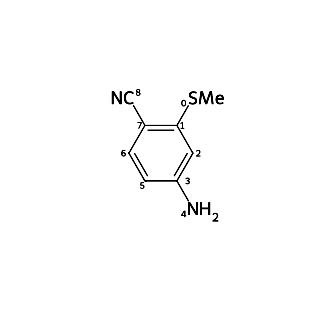 CSc1cc(N)ccc1C#N